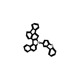 c1ccc2c(c1)-c1cccc3c1c-2cc1c3c2c3ccccc3ccc2n1-c1ccc2sc3ccccc3c2c1